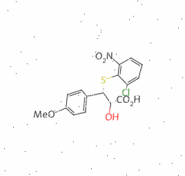 COc1ccc([C@H](Sc2c(Cl)cccc2[N+](=O)[O-])[C@@H](O)C(=O)O)cc1